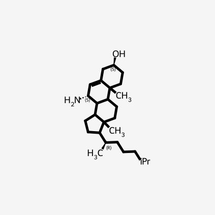 CC(C)CCC[C@@H](C)C1CCC2C3C(CCC21C)C1(C)CC[C@H](O)CC1=C[C@H]3N